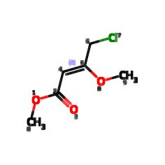 COC(=O)/C=C(/CCl)OC